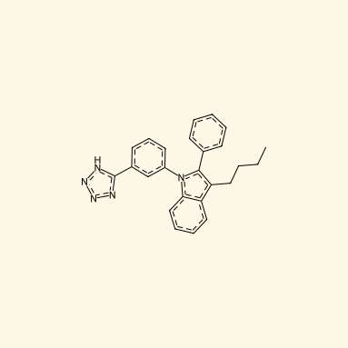 CCCCc1c(-c2ccccc2)n(-c2cccc(-c3nnn[nH]3)c2)c2ccccc12